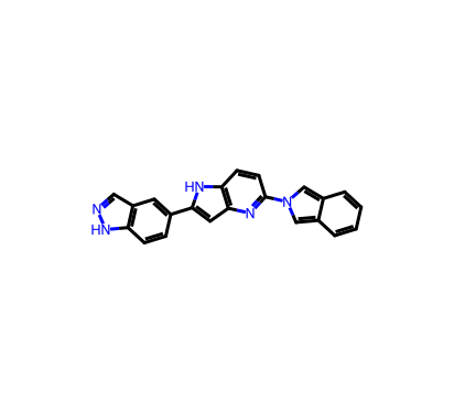 c1ccc2cn(-c3ccc4[nH]c(-c5ccc6[nH]ncc6c5)cc4n3)cc2c1